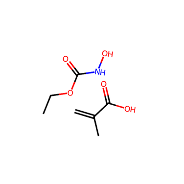 C=C(C)C(=O)O.CCOC(=O)NO